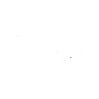 COC(=O)[C@H]1NC[C@H](Oc2nc3cc(OC)ccc3nc2Cl)[C@H]1C